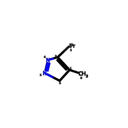 CC1=C(C(C)C)N=NC1